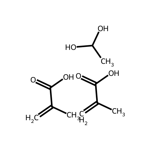 C=C(C)C(=O)O.C=C(C)C(=O)O.CC(O)O